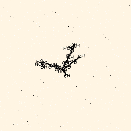 C#CCCC(=O)NC(COCCC(=O)NCCCNC(=O)CCCCO)(COCCC(=O)NCCCNC(=O)CCCCO[C@H]1C[C@@H](O)[C@@H](O)[C@@H](CO)O1)COCCC(=O)NCCCNC(=O)CCCCO[C@H]1C[C@@H](O)[C@@H](O)[C@@H](CO)O1